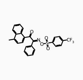 Cc1ccc(C(=O)/C(=N/OS(=O)(=O)c2ccc(C(F)(F)F)cc2)c2ccccc2)c2ccccc12